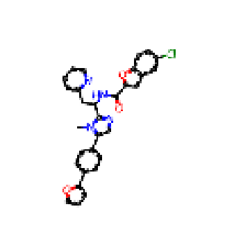 Cn1c(-c2ccc(-c3ccco3)cc2)cnc1C(Cc1ccccn1)NC(=O)c1cc2cc(Cl)ccc2o1